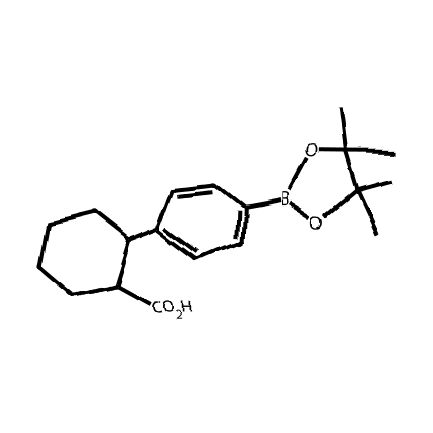 CC1(C)OB(c2ccc(C3CCCCC3C(=O)O)cc2)OC1(C)C